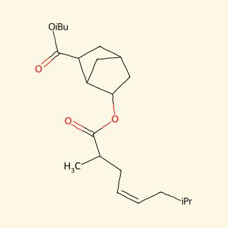 CC(C)C/C=C\CC(C)C(=O)OC1CC2CC(C(=O)OCC(C)C)C1C2